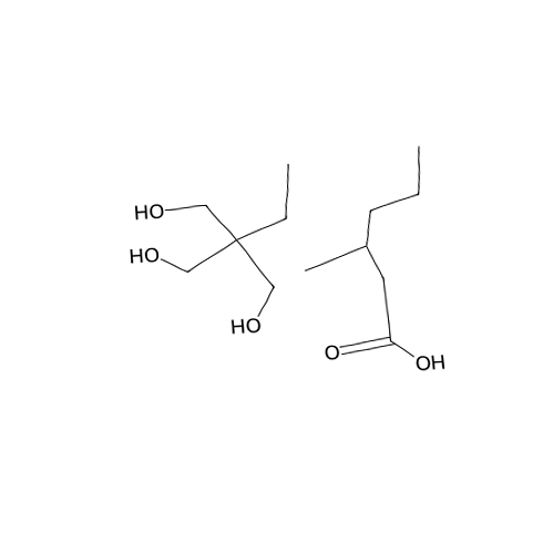 CCC(CO)(CO)CO.CCCC(C)CC(=O)O